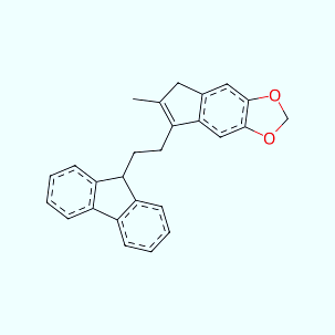 CC1=C(CCC2c3ccccc3-c3ccccc32)c2cc3c(cc2C1)OCO3